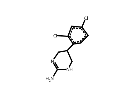 NC1=NCC(c2ccc(Cl)cc2Cl)CN1